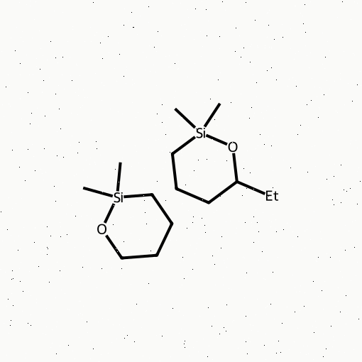 CCC1CCC[Si](C)(C)O1.C[Si]1(C)CCCCO1